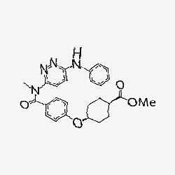 COC(=O)[C@H]1CC[C@@H](Oc2ccc(C(=O)N(C)c3ccc(Nc4ccccc4)nn3)cc2)CC1